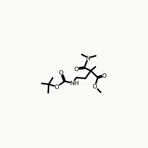 COC(=O)C(C)(CCNC(=O)OC(C)(C)C)C(=O)N(C)C